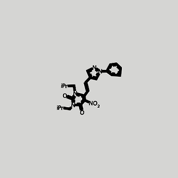 CC(C)Cn1c(/C=C/c2cnn(-c3ccccc3)c2)c([N+](=O)[O-])c(=O)n(CC(C)C)c1=O